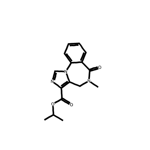 CC(C)OC(=O)c1ncn2c1CN(C)C(=O)c1ccccc1-2